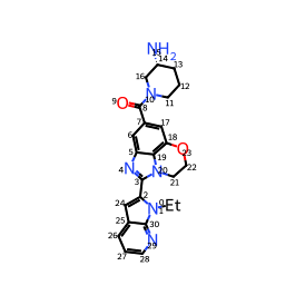 CCn1c(-c2nc3cc(C(=O)N4CCC[C@@H](N)C4)cc4c3n2CCO4)cc2cccnc21